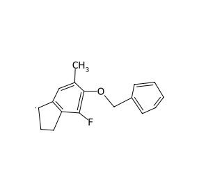 Cc1cc2c(c(F)c1OCc1ccccc1)CC[CH]2